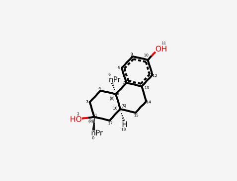 CCC[C@@]1(O)CC[C@@]2(CCC)c3ccc(O)cc3CC[C@H]2C1